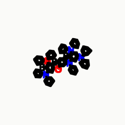 c1ccc(B2c3ccccc3N(c3ccccc3)c3cc4c5c(c32)Oc2ccccc2B5c2cc3c(cc2O4)N(c2ccccc2)c2cc(N(c4ccccc4)c4ccccc4)cc4c2B3c2ccccc2N4c2ccccc2)cc1